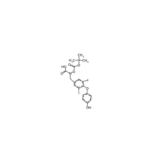 CC(C)(C)OC(=O)ON(Cc1cc(I)c(Oc2ccc(O)cc2)c(I)c1)C(=O)O